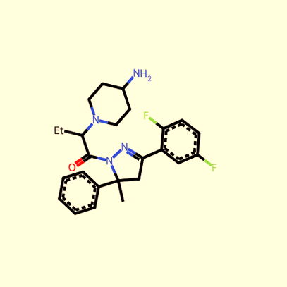 CCC(C(=O)N1N=C(c2cc(F)ccc2F)CC1(C)c1ccccc1)N1CCC(N)CC1